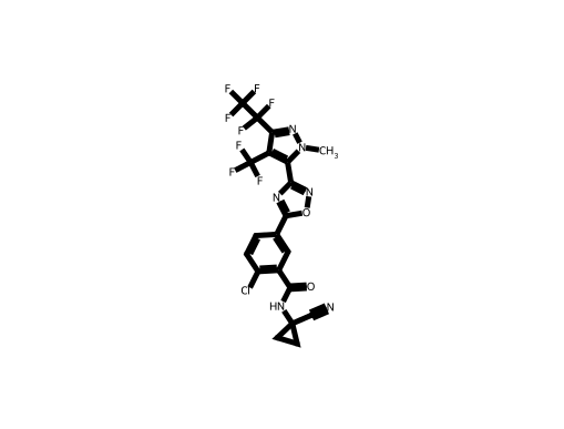 Cn1nc(C(F)(F)C(F)(F)F)c(C(F)(F)F)c1-c1noc(-c2ccc(Cl)c(C(=O)NC3(C#N)CC3)c2)n1